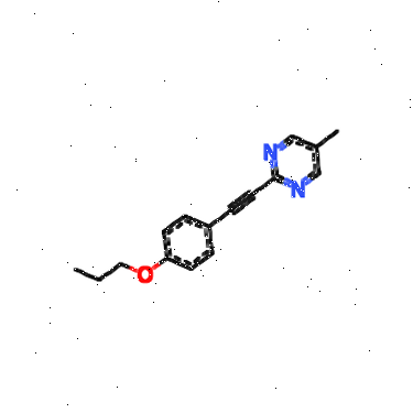 CCCOc1ccc(C#Cc2ncc(C)cn2)cc1